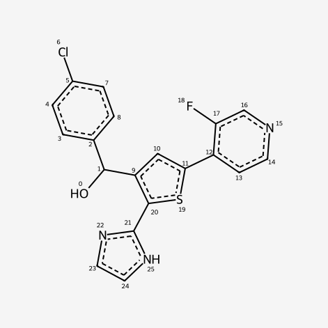 OC(c1ccc(Cl)cc1)c1cc(-c2ccncc2F)sc1-c1ncc[nH]1